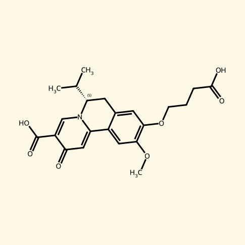 COc1cc2c(cc1OCCCC(=O)O)C[C@@H](C(C)C)n1cc(C(=O)O)c(=O)cc1-2